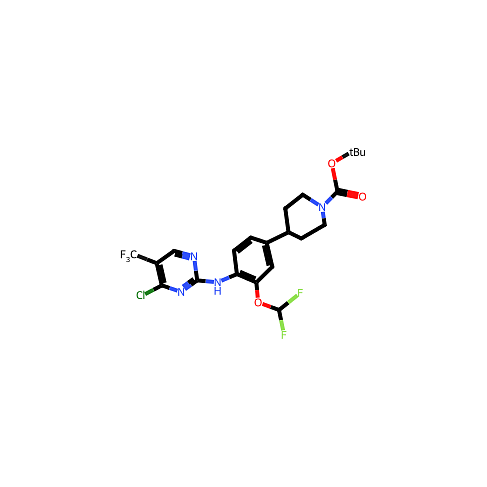 CC(C)(C)OC(=O)N1CCC(c2ccc(Nc3ncc(C(F)(F)F)c(Cl)n3)c(OC(F)F)c2)CC1